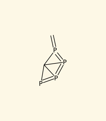 C=P1=P2=P3=PC132